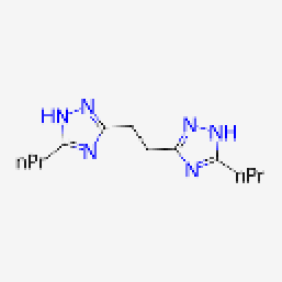 CCCc1nc(CCc2n[nH]c(CCC)n2)n[nH]1